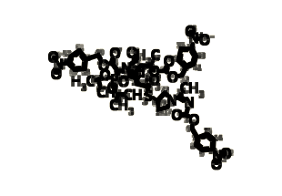 CC(=NC(=O)OCc1ccc([N+](=O)[O-])cc1)N1CC[C@@H](SC(=O)C[C@@H]2[C@@H]([C@@H](C)OC(=O)OCc3ccc([N+](=O)[O-])cc3)C(=O)N2C(C(=O)OCc2ccc([N+](=O)[O-])cc2)=P(OC(C)C)(OC(C)C)OC(C)C)C1